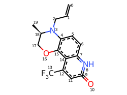 C=CCN1c2ccc3[nH]c(=O)cc(C(F)(F)F)c3c2OC[C@H]1C